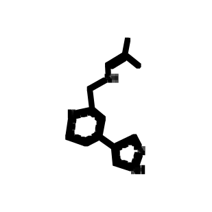 CC(C)=CNCc1cc(-c2cn[nH]c2)ccn1